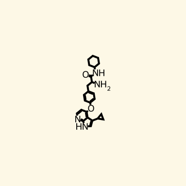 NC(Cc1ccc(Oc2ccnc3[nH]cc(C4CC4)c23)cc1)C(=O)NC1CCCCC1